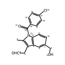 Cc1c(CC=O)c2cc(CO)ccc2n1C(=O)c1ccc(Cl)cc1